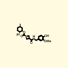 COc1cc(CNC(=O)C2CN(C(=O)O[C@@H]3C[C@H](C)CC[C@H]3C(C)C)C2)ccc1O